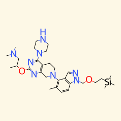 Cc1ccc2c(cnn2COCC[Si](C)(C)C)c1N1CCc2c(nc(OC(C)CN(C)C)nc2N2CCNCC2)C1